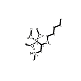 CCCCCOC(CNC)[Si](OC)(OC)OC